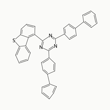 c1ccc(-c2ccc(-c3nc(-c4ccc(-c5ccccc5)cc4)nc(-c4cccc5sc6ccccc6c45)n3)cc2)cc1